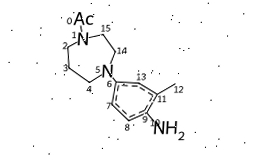 CC(=O)N1CCCN(c2ccc(N)c(C)c2)CC1